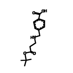 CC(C)(C)OC(=O)CCNCc1ccc(C(=O)O)cc1